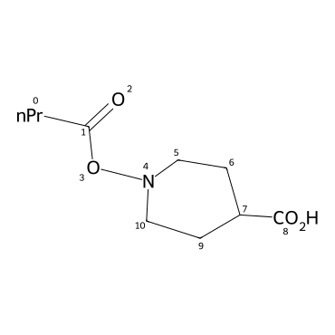 CCCC(=O)ON1CCC(C(=O)O)CC1